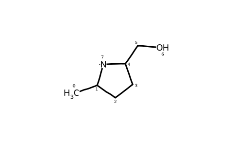 CC1CCC(CO)[N]1